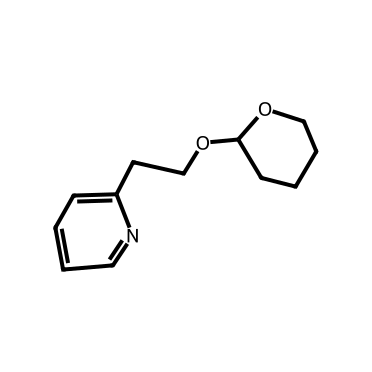 c1ccc(CCOC2CCCCO2)nc1